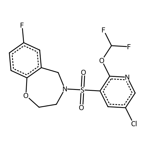 O=S(=O)(c1cc(Cl)cnc1OC(F)F)N1CCOc2ccc(F)cc2C1